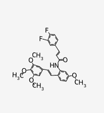 COc1ccc(/C=C/c2cc(OC)c(OC)c(OC)c2)c(NC(=O)/C=C/c2ccc(F)c(F)c2)c1